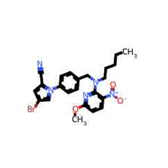 CCCCCN(Cc1ccc(-n2cc(Br)cc2C#N)cc1)c1nc(OC)ccc1[N+](=O)[O-]